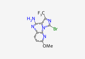 COc1ccc2nc(N)c3c(C(F)(F)F)nc(Br)n3c2n1